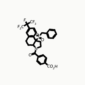 O=C(O)c1ccc(C(=O)N2CCC3(S(=O)(=O)Cc4ccccc4)c4ccc(C(F)(C(F)(F)F)C(F)(F)F)cc4CCC23)cc1